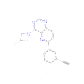 C#Cc1cccc(-c2ccc3ncnc(N4CC(F)C4)c3n2)c1